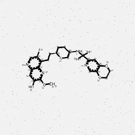 [2H]C([2H])(N[C@@H]1CC[C@H](CCc2c(F)cnc3cc(O)c(OC)nc23)OC1)c1cc2c(cn1)OCCO2